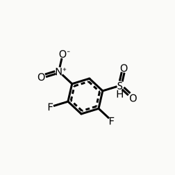 O=[N+]([O-])c1cc([SH](=O)=O)c(F)cc1F